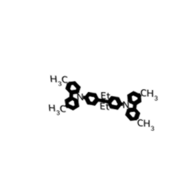 CCC(CC)(c1ccc(-n2c3ccc(C)cc3c3cc(C)ccc32)cc1)c1ccc(-n2c3ccc(C)cc3c3cc(C)ccc32)cc1